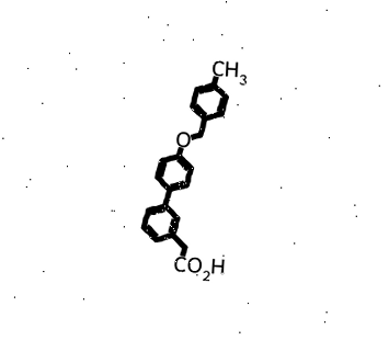 Cc1ccc(COc2ccc(-c3cccc(CC(=O)O)c3)cc2)cc1